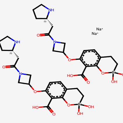 O=C(O)c1c(OC2CN(C(=O)C[C@@H]3CCCN3)C2)ccc2c1O[B-](O)(O)CC2.O=C(O)c1c(OC2CN(C(=O)C[C@@H]3CCCN3)C2)ccc2c1O[B-](O)(O)CC2.[Na+].[Na+]